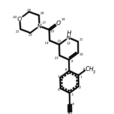 Cc1cc(C#N)ccc1C1=CCN[C](CC(=O)N2CCOCC2)C1